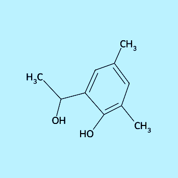 Cc1cc(C)c(O)c(C(C)O)c1